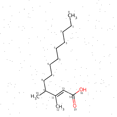 CCCCCCCCCC(C)C(C)=CC(=O)O